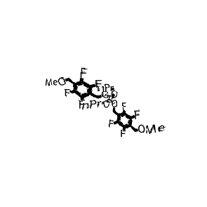 CCC[O][Zr]([O]CCC)([O]Cc1c(F)c(F)c(COC)c(F)c1F)[O]Cc1c(F)c(F)c(COC)c(F)c1F